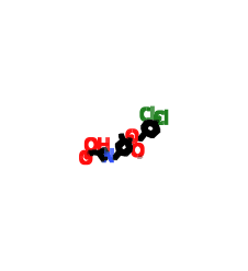 COc1cc(CN2CC(C(=O)O)C2)cc(C)c1OCc1ccc(Cl)c(Cl)c1